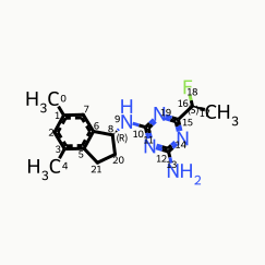 Cc1cc(C)c2c(c1)[C@H](Nc1nc(N)nc([C@H](C)F)n1)CC2